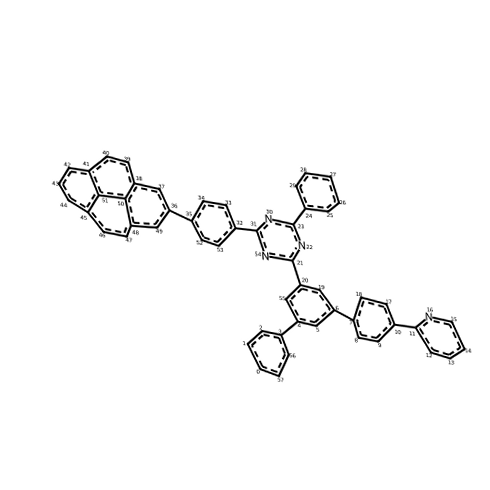 c1ccc(-c2cc(-c3ccc(-c4ccccn4)cc3)cc(-c3nc(-c4ccccc4)nc(-c4ccc(-c5cc6ccc7cccc8ccc(c5)c6c78)cc4)n3)c2)cc1